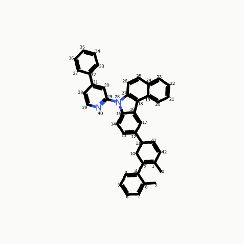 CC1=C(c2ccccc2C)CC(c2ccc3c(c2)c2c4ccccc4ccc2n3-c2cc(-c3ccccc3)ccn2)C=C1